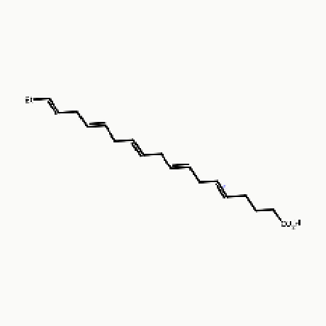 CCC=CCC=CCC=CCC=CC/C=C/CCCC(=O)O